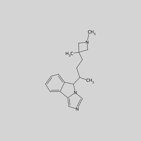 CC(CCC1(C)CN(C)C1)C1c2ccccc2-c2cncn21